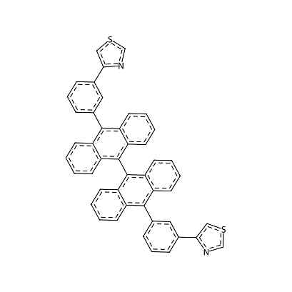 c1cc(-c2cscn2)cc(-c2c3ccccc3c(-c3c4ccccc4c(-c4cccc(-c5cscn5)c4)c4ccccc34)c3ccccc23)c1